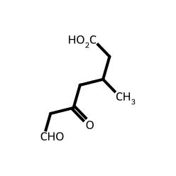 CC(CC(=O)O)CC(=O)CC=O